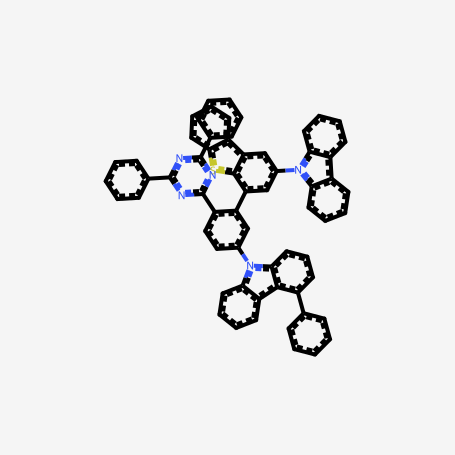 c1ccc(-c2nc(-c3ccccc3)nc(-c3ccc(-n4c5ccccc5c5c(-c6ccccc6)cccc54)cc3-c3cc(-n4c5ccccc5c5ccccc54)cc4c3sc3ccccc34)n2)cc1